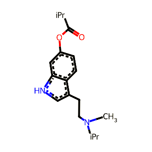 CC(C)C(=O)Oc1ccc2c(CCN(C)C(C)C)c[nH]c2c1